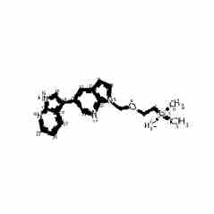 C[Si](C)(C)CCOCn1ccc2cc(-c3c[nH]c4ncccc34)cnc21